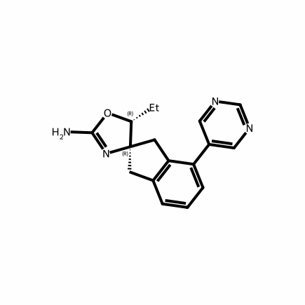 CC[C@H]1OC(N)=N[C@@]12Cc1cccc(-c3cncnc3)c1C2